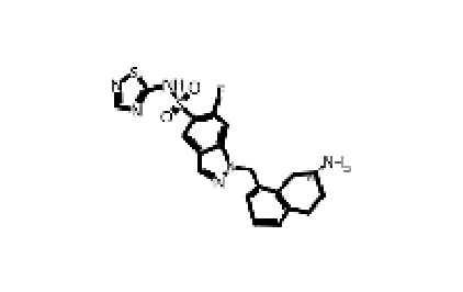 N[C@@H]1CCc2cccc(Cn3ncc4cc(S(=O)(=O)Nc5ncns5)c(F)cc43)c2C1